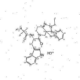 CCN1N=C2CCN(C(=O)C(Cc3c[nH]c4ccccc34)NC(=O)C(C)(C)N)CC2(Cc2ccccc2)C1=O.Cl